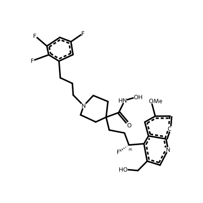 COc1ccc2ncc(CO)c([C@H](F)CCC3(C(=O)NO)CCN(CCCc4cc(F)cc(F)c4F)CC3)c2c1